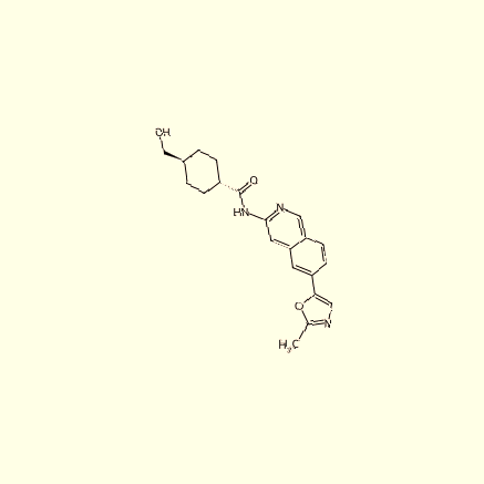 Cc1ncc(-c2ccc3cnc(NC(=O)[C@H]4CC[C@H](CO)CC4)cc3c2)o1